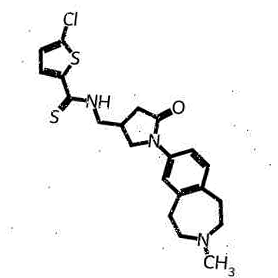 CN1CCc2ccc(N3CC(CNC(=S)c4ccc(Cl)s4)CC3=O)cc2CC1